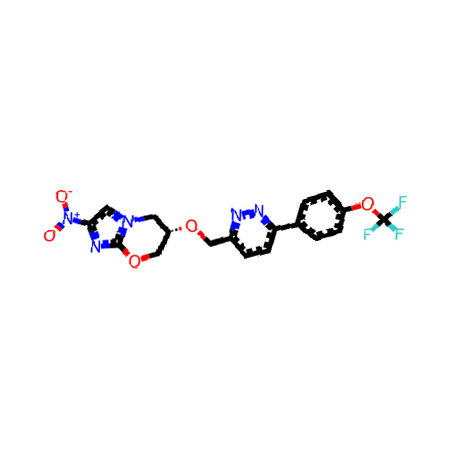 O=[N+]([O-])c1cn2c(n1)OC[C@@H](OCc1ccc(-c3ccc(OC(F)(F)F)cc3)nn1)C2